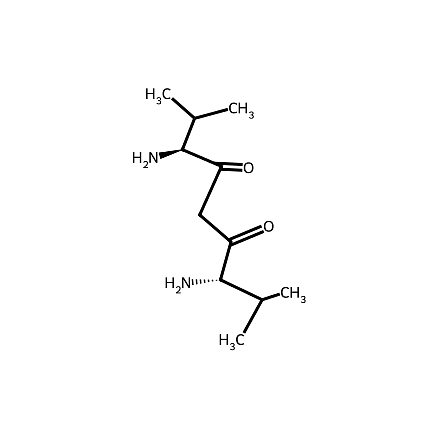 CC(C)[C@H](N)C(=O)CC(=O)[C@@H](N)C(C)C